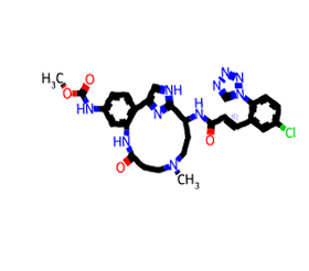 COC(=O)Nc1ccc2c(c1)NC(=O)CCN(C)CCC(NC(=O)/C=C/c1cc(Cl)ccc1-n1cnnn1)c1nc-2c[nH]1